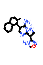 Cc1ccc2ccccc2c1-c1cnc2c(C3=NOCN3)cnn2c1N